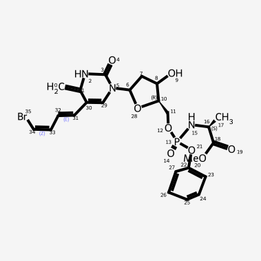 C=C1NC(=O)N(C2CC(O)[C@@H](COP(=O)(N[C@@H](C)C(=O)OC)Oc3ccccc3)O2)C=C1/C=C/C=C\Br